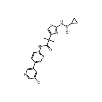 CC(C)(C(=O)Nc1ccc(-c2cncc(Cl)c2)cn1)c1csc(N[S+]([O-])C2CC2)n1